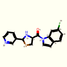 O=C(C1CSC(c2cccnc2)N1)n1ccc2ccc(F)cc21